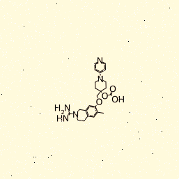 Cc1cc2c(cc1OCC1(OC(=O)O)CCN(c3ccncc3)CC1)CN(C(=N)N)CC2